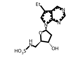 CCc1cn([C@H]2C[C@H](O)[C@@H](CNS(=O)(=O)O)O2)c2ncncc12